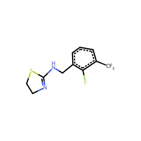 Fc1c(CNC2=NCCS2)cccc1C(F)(F)F